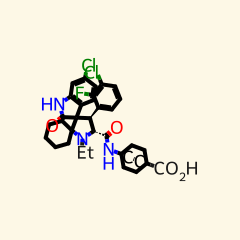 CCN1[C@@H](C(=O)NC23CCC(C(=O)O)(CC2)CC3)[C@H](c2cccc(Cl)c2F)C2(C(=O)Nc3cc(Cl)ccc32)C12CCCCC2